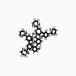 Fc1cccc(F)c1-c1ccc(-n2c3ccc(-c4ncccn4)cc3c3cc(-c4ncccn4)ccc32)c(C(F)(F)F)c1-n1c2ccc(-c3ncccn3)cc2c2cc(-c3ncccn3)ccc21